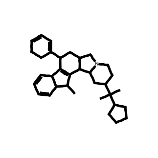 CC1C2=C(C(C3=CC=CCC3)CC3CN4CCC(C(C)(C)C5CCCC5)CC4C23)C2C=CC=CC12